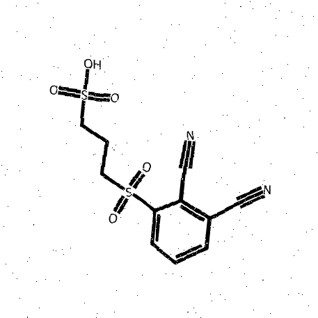 N#Cc1cccc(S(=O)(=O)CCCS(=O)(=O)O)c1C#N